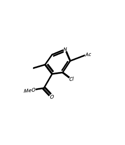 COC(=O)c1c(C)cnc(C(C)=O)c1Cl